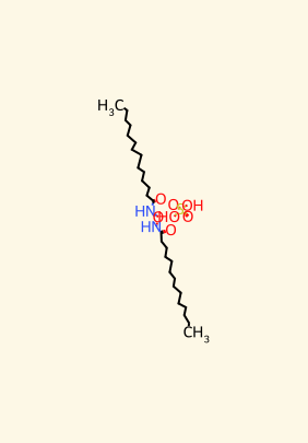 CCCCCCCCCCCCCC(=O)NONC(=O)CCCCCCCCCCCCC.O=S(=O)(O)O